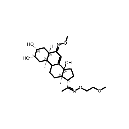 COCCO/N=C(/C)[C@H]1CC[C@@]2(O)C3=C/C(=N\OC)[C@@H]4C[C@@H](O)[C@@H](O)C[C@]4(C)C3CC[C@]12C